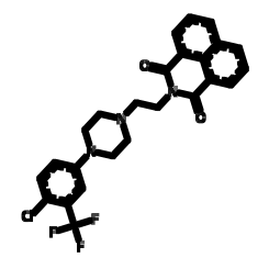 O=C1c2cccc3cccc(c23)C(=O)N1CCN1CCN(c2ccc(Cl)c(C(F)(F)F)c2)CC1